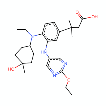 CCOc1ncc(Nc2cc(C(C)(C)CC(=O)O)ccc2N(CC)C2CCC(C)(O)CC2)cn1